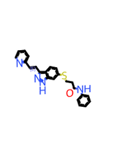 O=C(CCSc1ccc2c(/C=C/c3ccccn3)n[nH]c2c1)Nc1ccccc1